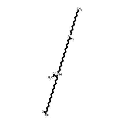 CCCCCCCCCCCCOC(=O)CCCCCCCCCCCCCCCNC(CCCCCCCCCCCCCCCC(=O)O)C(C)N